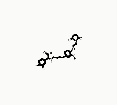 COc1cc(CCCCNC(C(=O)O)c2ccc(Cl)c(Cl)c2)ccc1OCCN1C(=O)CCC1=O